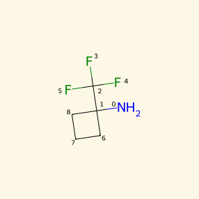 NC1(C(F)(F)F)CCC1